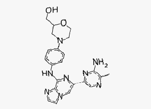 Cc1ncc(-c2cn3ccnc3c(Nc3ccc(N4CCOC(CO)C4)cc3)n2)nc1N